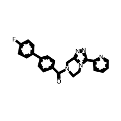 O=C(c1ccc(-c2ccc(F)cc2)cc1)N1CCn2c(nnc2-c2ccccn2)C1